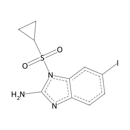 Nc1nc2ccc(I)cc2n1S(=O)(=O)C1CC1